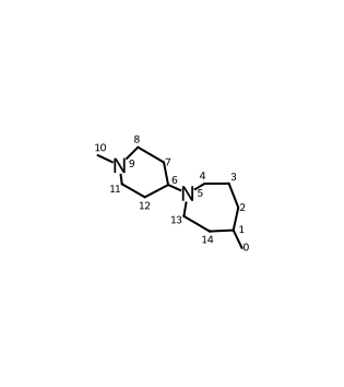 CC1CCCN(C2CCN(C)CC2)CC1